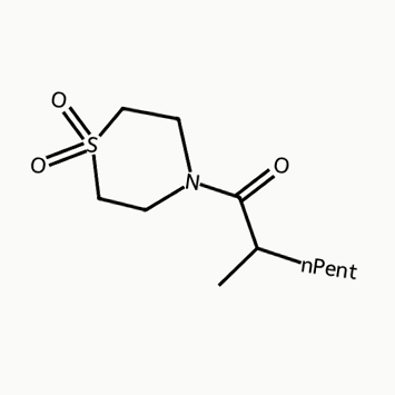 CCCCCC(C)C(=O)N1CCS(=O)(=O)CC1